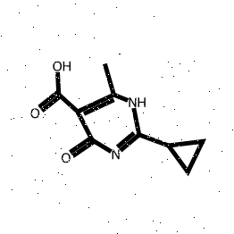 Cc1[nH]c(C2CC2)nc(=O)c1C(=O)O